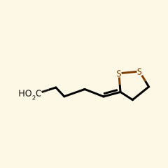 O=C(O)CCC/C=C1/CCSS1